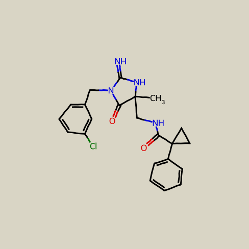 CC1(CNC(=O)C2(c3ccccc3)CC2)NC(=N)N(Cc2cccc(Cl)c2)C1=O